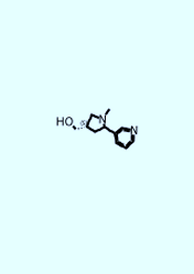 CN1C[C@@H](CO)CC1c1cccnc1